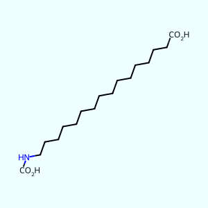 O=C(O)CCCCCCCCCCCCCCCNC(=O)O